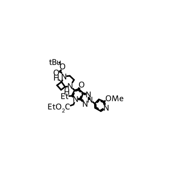 CCOC(=O)Cn1c(CC)c(N2CCN(C(=O)OC(C)(C)C)[C@H]3CC[C@@H]32)c(=O)c2nn(-c3ccnc(OC)c3)nc21